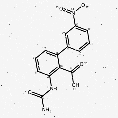 NC(=O)Nc1cccc(-c2cccc([N+](=O)[O-])c2)c1C(=O)O